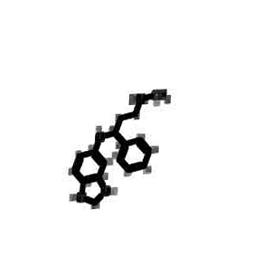 CNCCC(Oc1ccc2c(c1)OCO2)c1ccccc1